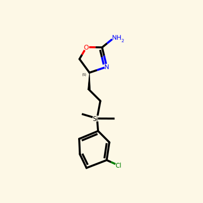 C[Si](C)(CC[C@H]1COC(N)=N1)c1cccc(Cl)c1